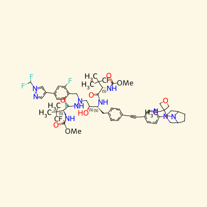 COC(=O)N[C@H](C(=O)N[C@@H](Cc1ccc(C#Cc2ccc(N3CC4CCC(C3)N4CC3(C)COC3)nc2)cc1)[C@@H](O)CN(Cc1c(F)cc(-c2cnn(C(F)F)c2)cc1F)NC(=O)[C@@H](NC(=O)OC)C(C)(C)C(F)(F)F)C(C)(C)C(F)(F)F